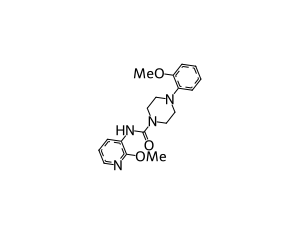 COc1ccccc1N1CCN(C(=O)Nc2cccnc2OC)CC1